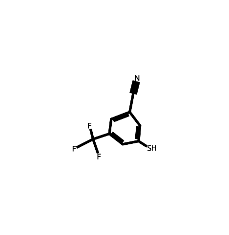 N#Cc1cc(S)cc(C(F)(F)F)c1